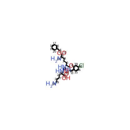 C[C@H](NC(=O)C(CCC[C@@H](N)C(=O)OCc1ccccc1)NC(=O)N[C@@H](CCCCN)C(=O)O)c1ccc(Cl)cc1